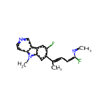 C=N/C(F)=C\C=C(/C)c1cc2c(cc1F)c1cnccc1n2C